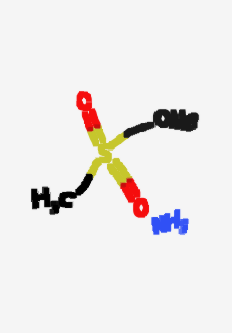 COS(C)(=O)=O.N